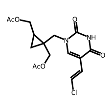 CC(=O)OCC1CC1(COC(C)=O)Cn1cc(C=CCl)c(=O)[nH]c1=O